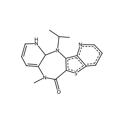 CC(C)N1c2c(sc3cccnc23)C(=O)N(C)C2=CC=CNC21